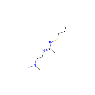 CCCSN/C(C)=N/CCN(C)C